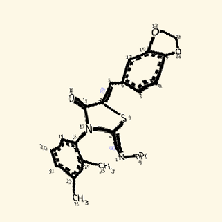 CCC/N=C1\S/C(=C\c2ccc3c(c2)OCO3)C(=O)N1c1cccc(C)c1C